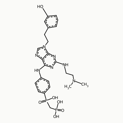 CN(C)CCNc1nc(Nc2ccc(P(=O)(O)CP(=O)(O)O)cc2)c2ncn(CCc3cccc(O)c3)c2n1